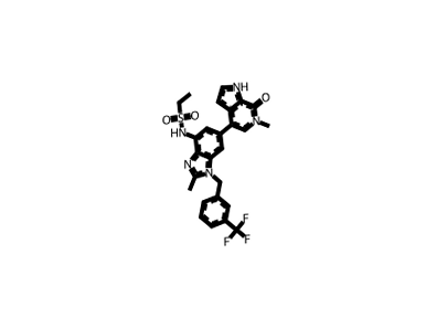 CCS(=O)(=O)Nc1cc(-c2cn(C)c(=O)c3[nH]ccc23)cc2c1nc(C)n2Cc1cccc(C(F)(F)F)c1